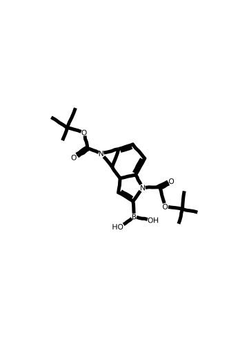 CC(C)(C)OC(=O)N1C(B(O)O)=CC2C1=CC=C1C2N1C(=O)OC(C)(C)C